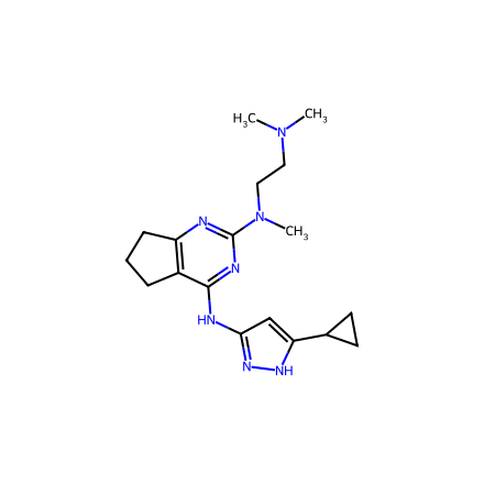 CN(C)CCN(C)c1nc2c(c(Nc3cc(C4CC4)[nH]n3)n1)CCC2